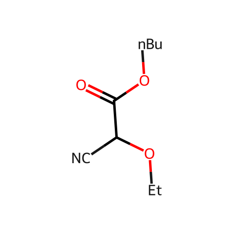 CCCCOC(=O)C(C#N)OCC